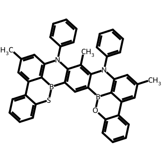 Cc1cc2c3c(c1)N(c1ccccc1)c1c(cc4c(c1C)N(c1ccccc1)c1cc(C)cc5c1B4Sc1ccccc1-5)B3Oc1ccccc1-2